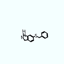 c1ccc(CSc2ccc3cn[nH]c3c2)cc1